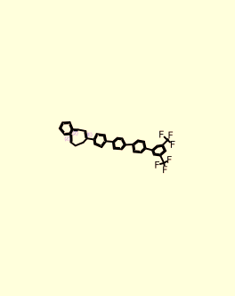 FC(F)(F)c1cc(-c2ccc(-c3ccc(-c4ccc(/C5=C/C=c6/cccc/c6=C/CC5)cc4)cc3)cc2)cc(C(F)(F)F)c1